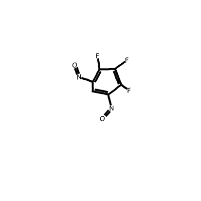 O=Nc1cc(N=O)c(F)c(F)c1F